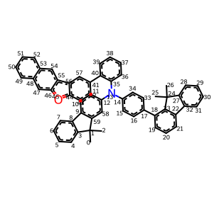 CC1(C)c2ccccc2-c2ccc(N(c3ccc(-c4cccc5c4C(C)(C)c4ccccc4-5)cc3)c3ccccc3-c3ccc4oc5cc6ccccc6cc5c4c3)cc21